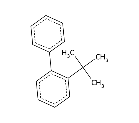 CC(C)(C)c1ccccc1-c1ccccc1